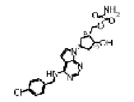 NS(=O)(=O)OC[C@@H]1C[C@@H](n2ccc3c(NCc4ccc(Cl)cc4)ncnc32)C[C@@H]1O